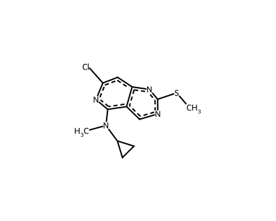 CSc1ncc2c(N(C)C3CC3)nc(Cl)cc2n1